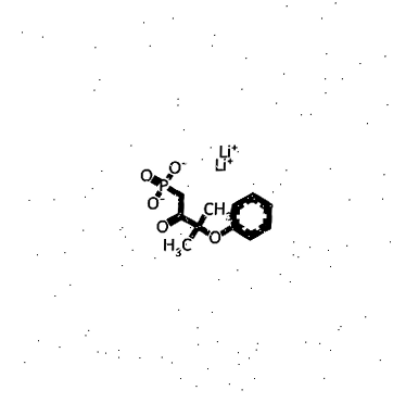 CC(C)(Oc1ccccc1)C(=O)CP(=O)([O-])[O-].[Li+].[Li+]